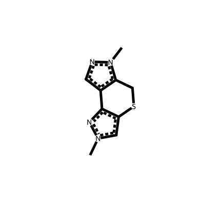 Cn1cc2c(n1)-c1cnn(C)c1CS2